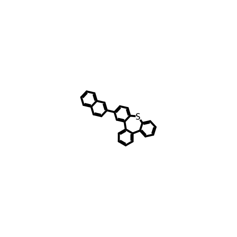 c1ccc2c(c1)Sc1ccc(-c3ccc4ccccc4c3)cc1-c1ccccc1-2